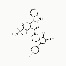 CC(c1c[nH]c2ccccc12)C(NC(=O)C(C)(C)N)C(=O)N1CCC[C@@]2(C1)C(=O)N(C(C)C)CC2c1ccc(F)cc1